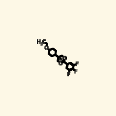 CCOC1CCC(C23COC(c4cc(F)c(F)c(F)c4)(OC2)OC3)CC1